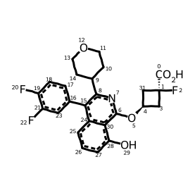 O=C(O)[C@]1(F)C[C@@H](Oc2nc(C3CCOCC3)c(-c3ccc(F)c(F)c3)c3cccc(O)c23)C1